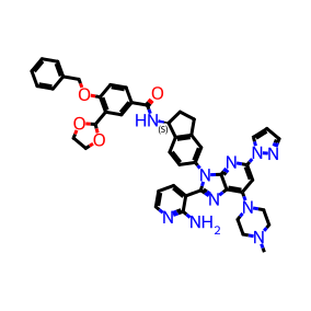 CN1CCN(c2cc(-n3cccn3)nc3c2nc(-c2cccnc2N)n3-c2ccc3c(c2)CC[C@@H]3NC(=O)c2ccc(OCc3ccccc3)c(C3OCCO3)c2)CC1